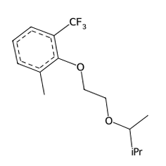 Cc1cccc(C(F)(F)F)c1OCCOC(C)C(C)C